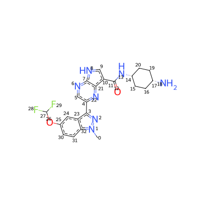 Cn1nc(-c2cnc3[nH]cc(C(=O)N[C@H]4CC[C@@H](N)CC4)c3n2)c2cc(OC(F)F)ccc21